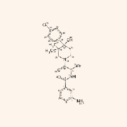 CC(C)C(NC(=O)c1cccc(N)c1)C(=O)N1CCC(O)(c2ccc(Cl)cc2)C(C)(C)C1